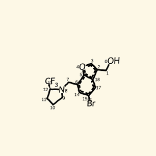 OCc1coc2c(CN3CCC[C@H]3C(F)(F)F)cc(Br)cc12